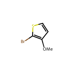 COc1c[c]sc1Br